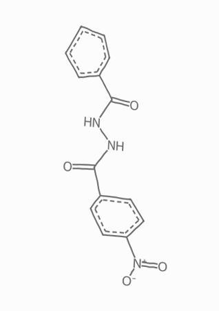 O=C(NNC(=O)c1ccc([N+](=O)[O-])cc1)c1ccccc1